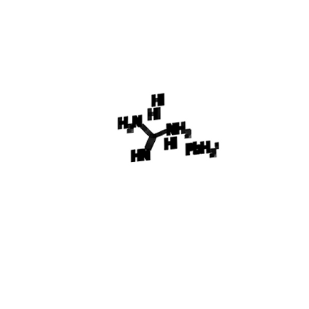 I.I.I.N=C(N)N.[PbH2]